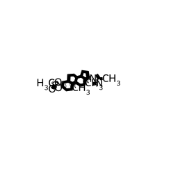 Cc1cn(C2=CCC3C4CC=C5C[C@@H](OS(C)(=O)=O)CC[C@]5(C)C4CC[C@]23C)cn1